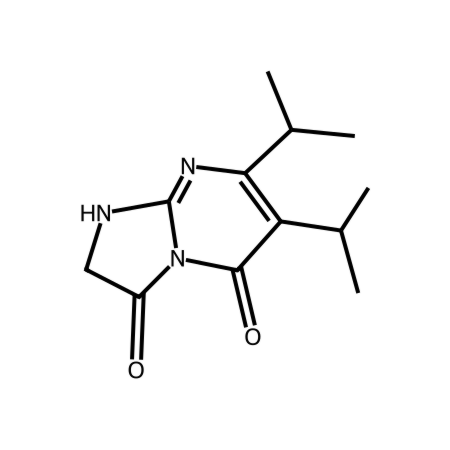 CC(C)c1nc2n(c(=O)c1C(C)C)C(=O)CN2